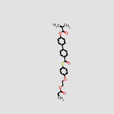 C=CC(=O)OCCOc1ccc(SC(=O)c2ccc(-c3ccc(OC(=O)C(=C)C)cc3)cc2)cc1